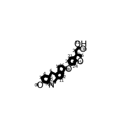 COc1ccc(Cc2c(C#N)ccc3c2CC[C@H]3Oc2ccc3c(c2)OCC3CC(=O)O)cc1